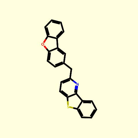 c1ccc2c(c1)oc1ccc(Cc3ccc4sc5ccccc5c4n3)cc12